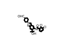 CC(C)(O)c1cc2nn([C@H]3CC[C@H](C=O)CC3)cc2cc1NC(=O)c1cccc(Cl)c1Cl